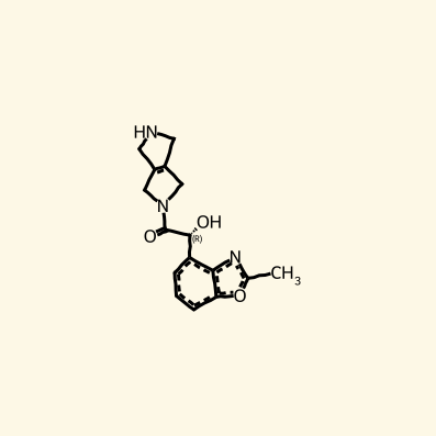 Cc1nc2c([C@@H](O)C(=O)N3CC4=C(CNC4)C3)cccc2o1